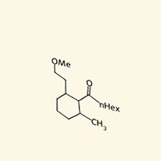 CCCCCCC(=O)C1C(C)CCCC1CCOC